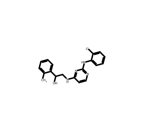 Cc1ccccc1C(O)CNc1ccnc(Nc2ccccc2Cl)n1